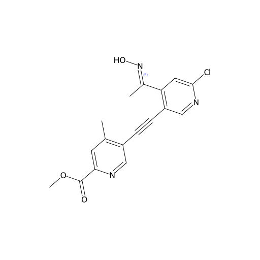 COC(=O)c1cc(C)c(C#Cc2cnc(Cl)cc2/C(C)=N/O)cn1